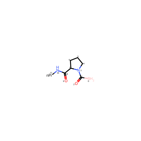 BC(=O)N1CCCC1C(=O)NCCC